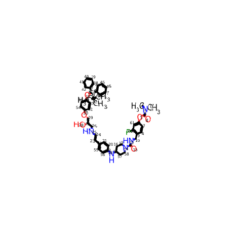 CN(C)C(=O)Oc1ccc(CNC(=O)N2CCC(Nc3ccc(CCNC[C@H](O)COc4ccc(O[Si](c5ccccc5)(c5ccccc5)C(C)(C)C)cc4)cc3)CC2)c(F)c1